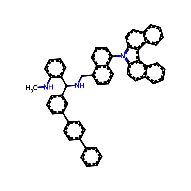 CNc1ccccc1C(NCc1cccc2c(-n3c4ccc5ccccc5c4c4c5ccccc5ccc43)cccc12)c1cccc(-c2ccc(-c3ccccc3)cc2)c1